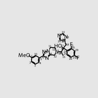 COc1cccc(-c2nc3n(n2)CCN([C@H](C)[C@](O)(Cn2cncn2)c2ccc(F)cc2F)C3)c1